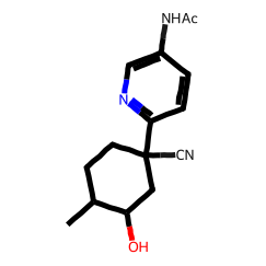 CC(=O)Nc1ccc(C2(C#N)CCC(C)C(O)C2)nc1